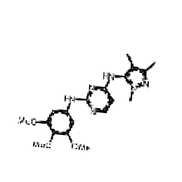 COc1cc(Nc2nccc(Nc3c(C)c(C)nn3C)n2)cc(OC)c1OC